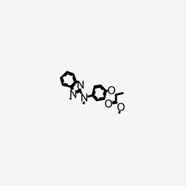 COC(=O)C(C)Oc1ccc(N(C)c2nc3ccccc3n2C)cc1